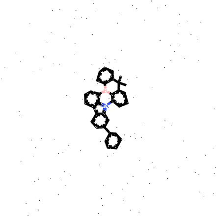 CC1(C)c2ccccc2B2c3c(cccc31)-n1c3cc(-c4ccccc4)ccc3c3cccc2c31